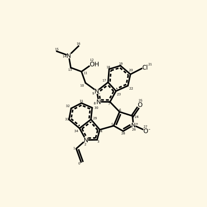 C=Cn1cc(C2=C(c3nn(CC(O)CN(C)C)c4ccc(Cl)cc34)C(=O)[N+]([O-])=C2)c2ccccc21